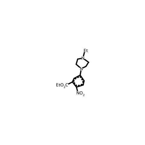 CCOC(=O)c1cc(N2CCN(CC)CC2)ccc1[N+](=O)[O-]